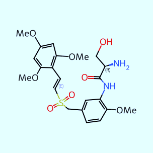 COc1cc(OC)c(/C=C/S(=O)(=O)Cc2ccc(OC)c(NC(=O)[C@H](N)CO)c2)c(OC)c1